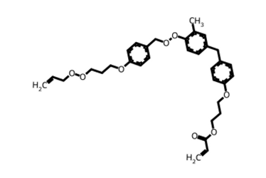 C=CCOOCCCOc1ccc(COOc2ccc(Cc3ccc(OCCCOC(=O)C=C)cc3)cc2C)cc1